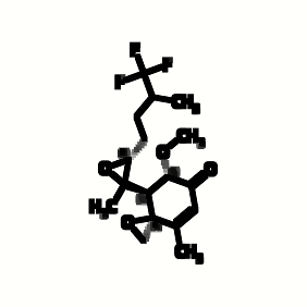 CO[C@@H]1C(=O)C=C(C)[C@]2(CO2)[C@H]1C1(C)O[C@@H]1CCC(C)C(F)(F)F